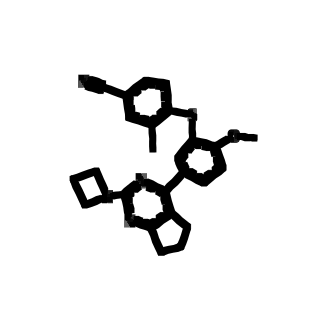 COc1ccc(-c2nc(N3CCC3)nc3c2CCC3)cc1Sc1ccc(C#N)cc1C